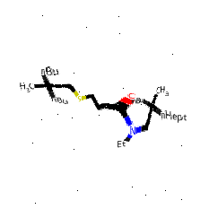 CCCCCCCC(C)(CCCC)CN(CC)C(=O)CCSCC(C)(CCCC)CCCC